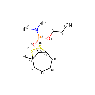 CC(C)N(C(C)C)P(OCCC#N)OC1C2CCCCC1(C)SS2